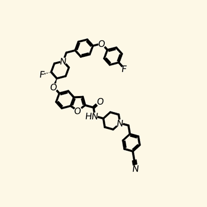 N#Cc1ccc(CN2CCC(NC(=O)c3cc4cc(O[C@@H]5CCN(Cc6ccc(Oc7ccc(F)cc7)cc6)C[C@H]5F)ccc4o3)CC2)cc1